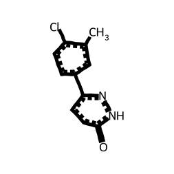 Cc1cc(-c2ccc(=O)[nH]n2)ccc1Cl